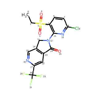 CCS(=O)(=O)c1ccc(Cl)nc1N1Cc2cnc(C(F)(F)F)cc2C1=O